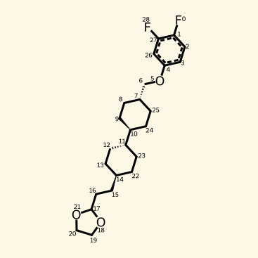 Fc1ccc(OC[C@H]2CC[C@H]([C@H]3CC[C@H](CCC4OCCO4)CC3)CC2)cc1F